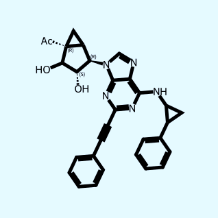 CC(=O)[C@]12CC1[C@@H](n1cnc3c(NC4CC4c4ccccc4)nc(C#Cc4ccccc4)nc31)[C@H](O)C2O